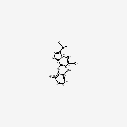 CC(C)c1cnc2c(Nc3c(F)cccc3F)cc(Cl)nn12